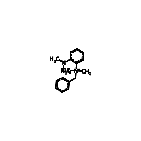 CN(C)c1ccccc1[N+](C)(C)Cc1ccccc1